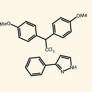 COc1ccc(C(c2ccc(OC)cc2)C(Cl)(Cl)Cl)cc1.c1ccc(-c2cc[nH]n2)cc1